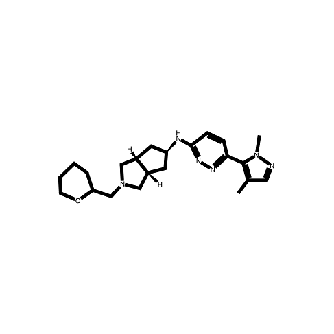 Cc1cnn(C)c1-c1ccc(N[C@H]2C[C@@H]3CN(CC4CCCCO4)C[C@@H]3C2)nn1